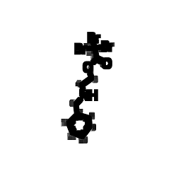 O=C(OCCNCc1ccccc1)C(Br)(Br)Br